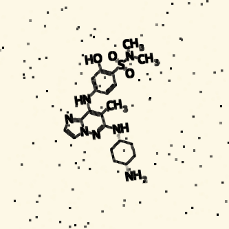 Cc1c(N[C@H]2CC[C@@H](N)CC2)nn2ccnc2c1Nc1ccc(S(=O)(=O)N(C)C)c(O)c1